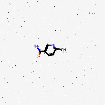 N#Cc1ccc(C([NH])=O)cn1